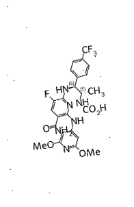 COc1cc(Nc2nc(N[C@@H](c3ccc(C(F)(F)F)cc3)[C@H](C)NC(=O)O)c(F)cc2C(N)=O)cc(OC)n1